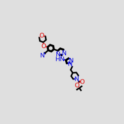 CC(C)(C)OC(=O)N1CCC(CCn2cc(Nc3nccc(-c4ccc(OC5CCOCC5)c(C#N)c4)n3)cn2)CC1